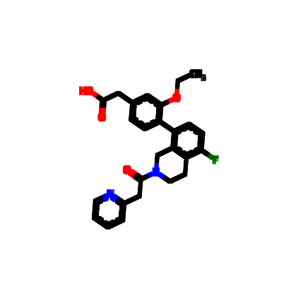 CCOc1cc(CC(=O)O)ccc1-c1ccc(F)c2c1CN(C(=O)Cc1ccccn1)CC2